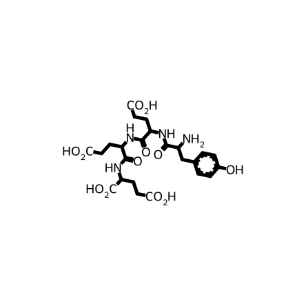 NC(Cc1ccc(O)cc1)C(=O)NC(CCC(=O)O)C(=O)NC(CCC(=O)O)C(=O)NC(CCC(=O)O)C(=O)O